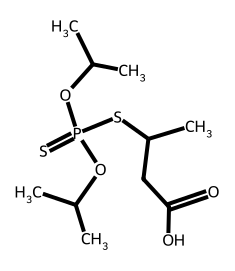 CC(C)OP(=S)(OC(C)C)SC(C)CC(=O)O